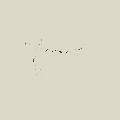 CC/C=C\C[C@@H](O)/C=C/C#C/C=C/C=C/[C@H]1OC(C)(C)O[C@H]1C/C=C\CCC(=O)OC